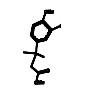 COC(=O)CC(C)(C)c1ccc(OC)c(I)c1